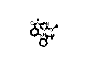 CN(C(=O)c1cccc(-n2nc(C(F)(F)F)c3c2CCCC3)c1)c1cnc(OC2CC2)nc1